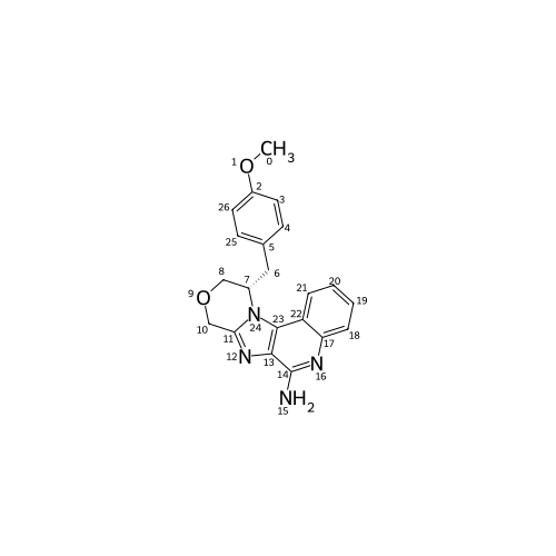 COc1ccc(C[C@H]2COCc3nc4c(N)nc5ccccc5c4n32)cc1